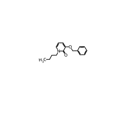 CCCCn1cccc(OCc2ccccc2)c1=O